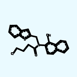 O=C(CCCCl)N(Cc1cc2ccccc2s1)c1ccc2ccccc2c1O